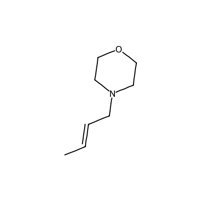 CC=CCN1CCOCC1